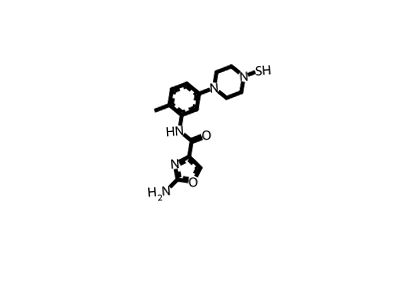 Cc1ccc(N2CCN(S)CC2)cc1NC(=O)c1coc(N)n1